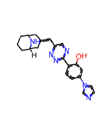 Oc1cc(-n2ccnc2)ccc1-c1ncc(/C=C2/CC3CCC[C@@H](C2)N3)nn1